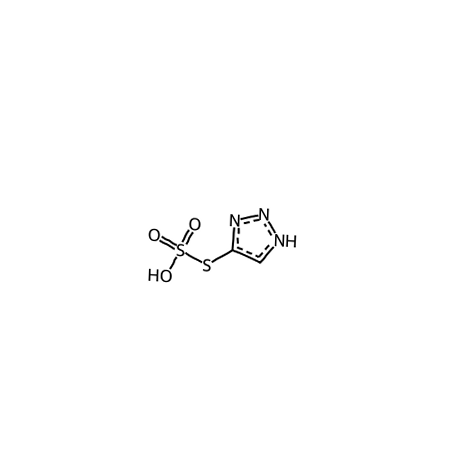 O=S(=O)(O)Sc1c[nH]nn1